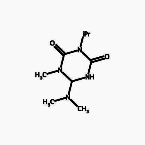 CC(C)N1C(=O)NC(N(C)C)N(C)C1=O